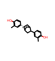 Cc1cc(C2CC3CC2C[C@H]3c2ccc(O)c(C)c2)ccc1O